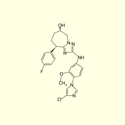 COc1cc(Nc2nc3n(n2)C[C@H](O)CC[C@@H]3c2ccc(F)cc2)ccc1-n1cnc(Cl)c1